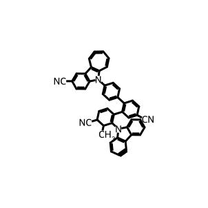 CC1C(n2c3ccc#cc3c3ccccc32)=C(c2cc(C#N)ccc2-c2ccc(-n3c4c(c5cc(C#N)ccc53)C=C=CC=C4)cc2)C=CC1C#N